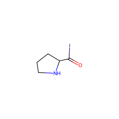 O=C(I)C1CCCN1